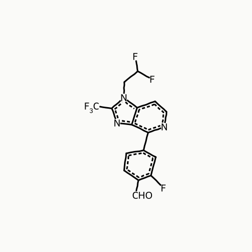 O=Cc1ccc(-c2nccc3c2nc(C(F)(F)F)n3CC(F)F)cc1F